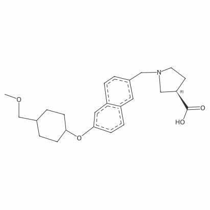 COCC1CCC(Oc2ccc3cc(CN4CC[C@@H](C(=O)O)C4)ccc3c2)CC1